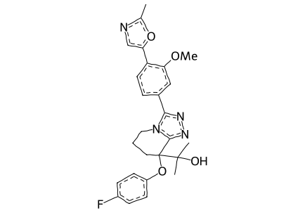 COc1cc(-c2nnc3n2CCCC3(Oc2ccc(F)cc2)C(C)(C)O)ccc1-c1cnc(C)o1